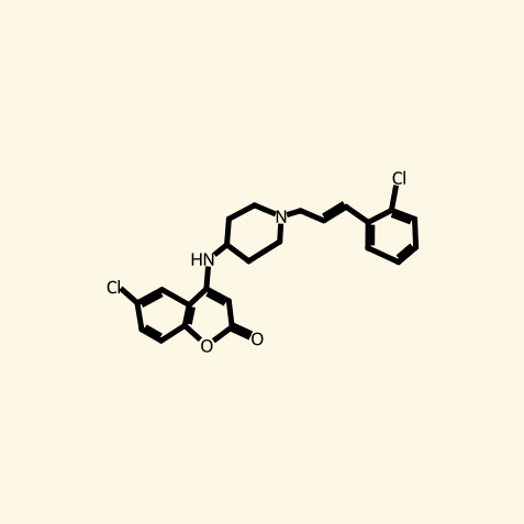 O=c1cc(NC2CCN(CC=Cc3ccccc3Cl)CC2)c2cc(Cl)ccc2o1